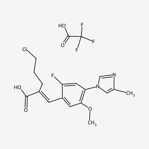 COc1cc(/C=C(\CCCCl)C(=O)O)c(F)cc1-n1cnc(C)c1.O=C(O)C(F)(F)F